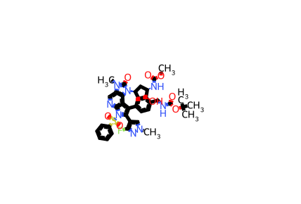 COC(=O)N[C@H]1C[C@H](n2c(=O)n(C)c3cnc4c(c(-c5ccc(CNC(=O)OC(C)(C)C)cc5)c(-c5cn(C)nc5F)n4S(=O)(=O)c4ccccc4)c32)C[C@H]1O